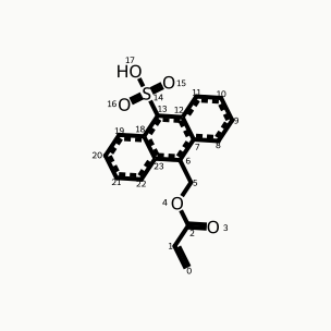 C=CC(=O)OCc1c2ccccc2c(S(=O)(=O)O)c2ccccc12